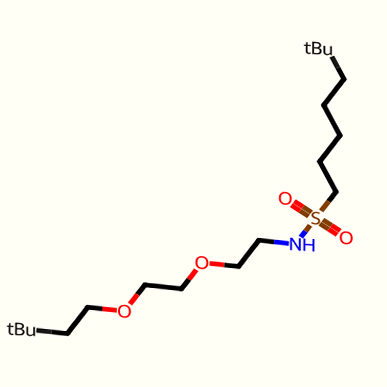 CC(C)(C)CCCCCS(=O)(=O)NCCOCCOCCC(C)(C)C